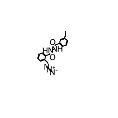 [N-]=[N+]=NCc1ccccc1C(=O)NNC(=O)c1cccc(I)c1